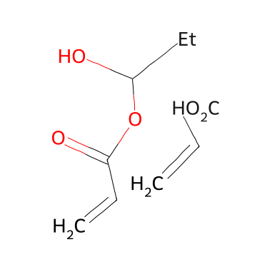 C=CC(=O)O.C=CC(=O)OC(O)CC